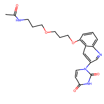 CC(=O)NCCCOCCCOc1cccc2ncc(-n3ccc(=O)[nH]c3=O)cc12